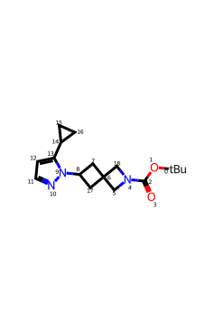 CC(C)(C)OC(=O)N1CC2(CC(n3nccc3C3CC3)C2)C1